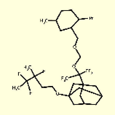 CC1CCC(C(C)C)C(COCOC(C(F)(F)F)(C(F)(F)F)C23CC4CC(CC(OCCC(C)(F)C(C)(F)F)(C4)C2)C3)C1